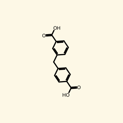 O=C(O)c1ccc(Cc2cccc(C(=O)O)c2)cc1